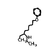 CCNC(CC)CCCCCOc1ccccc1